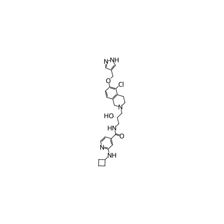 O=C(NC[C@H](O)CN1CCc2c(ccc(OCc3cn[nH]c3)c2Cl)C1)c1ccnc(NC2CCC2)c1